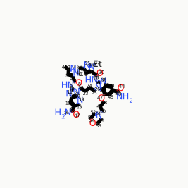 CCn1nc(C)cc1C(=O)Nc1nc2cc(C(N)=O)cnc2n1CCCCn1c(NC(=O)c2cc(C)nn2CC)nc2cc(C(N)=O)cc(OCCCN3CCOCC3)c21